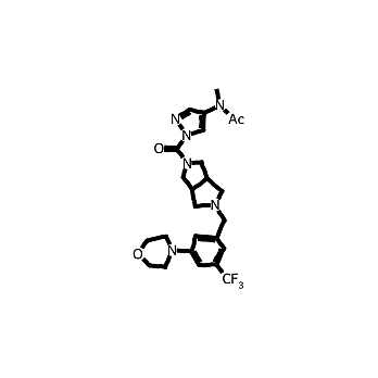 CC(=O)N(C)c1cnn(C(=O)N2CC3CN(Cc4cc(N5CCOCC5)cc(C(F)(F)F)c4)CC3C2)c1